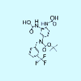 CC(C)(C)OC(=O)N(Cc1cccc(C(F)(F)F)c1)c1ccc(NC(=O)O)c(NC(=O)O)c1